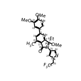 CC[C@@]1(OC)c2nc(-c3cnc(OC)c(OC)c3)cc(C)c2C(=O)N1c1cnn(CC(F)(F)F)c1